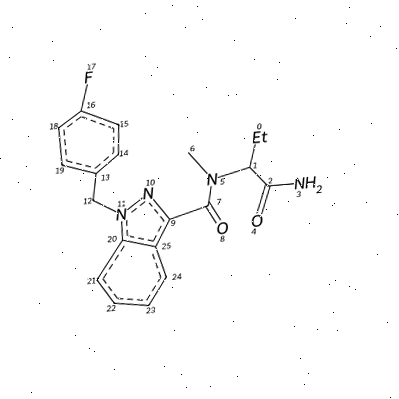 CCC(C(N)=O)N(C)C(=O)c1nn(Cc2ccc(F)cc2)c2ccccc12